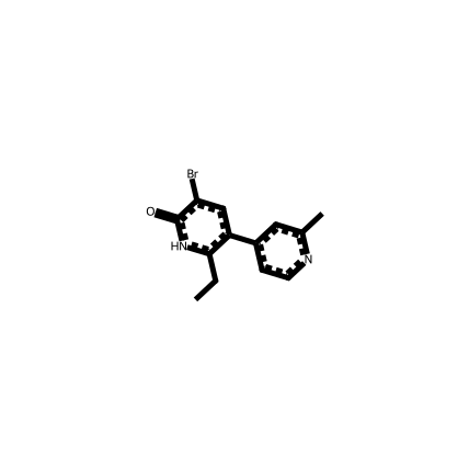 CCc1[nH]c(=O)c(Br)cc1-c1ccnc(C)c1